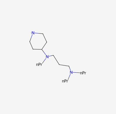 CCCN(CCC)CCCN(CCC)C1CC[N]CC1